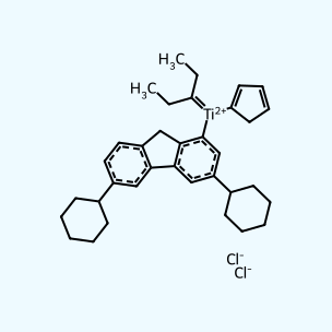 CC[C](CC)=[Ti+2]([C]1=CC=CC1)[c]1cc(C2CCCCC2)cc2c1Cc1ccc(C3CCCCC3)cc1-2.[Cl-].[Cl-]